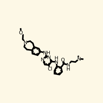 COCCN1CCc2ccc(Nc3ncc(Cl)c(Nc4ccccc4C(=O)NCCN(C)C)n3)cc2CC1